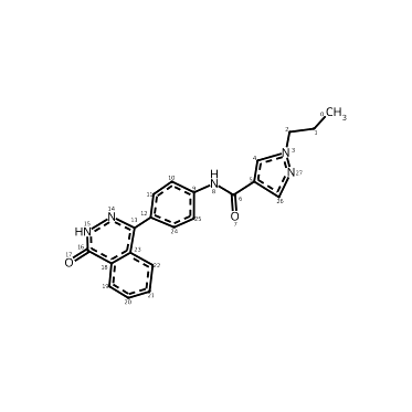 CCCn1cc(C(=O)Nc2ccc(-c3n[nH]c(=O)c4ccccc34)cc2)cn1